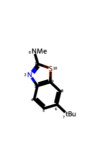 CNc1nc2ccc(C(C)(C)C)cc2s1